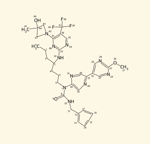 CCCC(CCCN(C(=O)NCc1ccccc1)c1cnc(-c2cnc(OC)nc2)cn1)Nc1ncc(C(F)(F)F)c(N2CC(C)(O)C2)n1